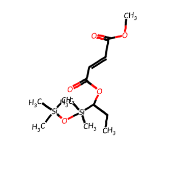 CCC(OC(=O)/C=C/C(=O)OC)[Si](C)(C)O[Si](C)(C)C